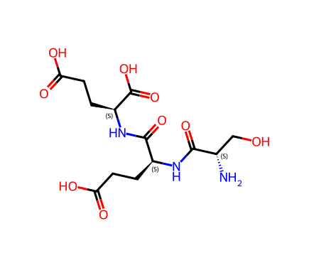 N[C@@H](CO)C(=O)N[C@@H](CCC(=O)O)C(=O)N[C@@H](CCC(=O)O)C(=O)O